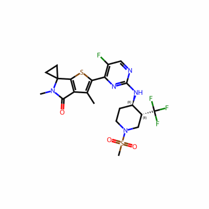 Cc1c(-c2nc(N[C@@H]3CCN(S(C)(=O)=O)C[C@H]3C(F)(F)F)ncc2F)sc2c1C(=O)N(C)C21CC1